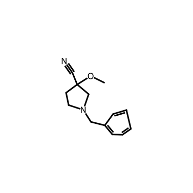 COC1(C#N)CCN(Cc2ccccc2)C1